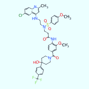 COc1ccc(S(=O)(=O)N(CCNc2cc(C)nc3ccc(Cl)cc23)CCC(=O)Nc2ccc(C(=O)N3CCC(O)(c4ccc(C(F)(F)F)cc4)CC3)cc2OC)cc1